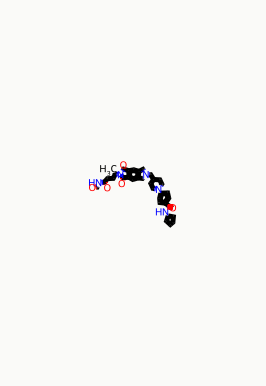 CC(CCC(=O)NC=O)N1C(=O)c2cc3c(cc2C1=O)CN(CC1CCN(c2ccc(C(=O)NC4CCCC4)cc2)CC1)C3